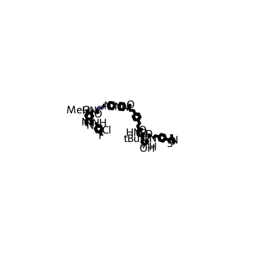 COc1cc2ncnc(Nc3ccc(F)c(Cl)c3)c2cc1NC(=O)/C=C/CN1CCC(N2CCN(C(=O)CCc3ccc(CCC(=O)NC(C(=O)N4C[C@H](O)C[C@H]4C(=O)NCc4ccc(-c5scnc5C)cc4)C(C)(C)C)cc3)CC2)CC1